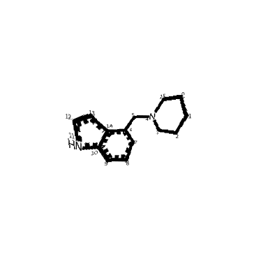 [CH]1CCCN(Cc2cccc3[nH]ccc23)C1